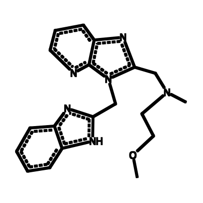 COCCN(C)Cc1nc2cccnc2n1Cc1nc2ccccc2[nH]1